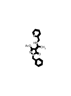 CC(=O)OC1=NN(Cc2ccccc2)C(=O)C1=C(C)NCc1ccccn1